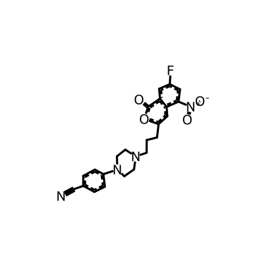 N#Cc1ccc(N2CCN(CCCc3cc4c([N+](=O)[O-])cc(F)cc4c(=O)o3)CC2)cc1